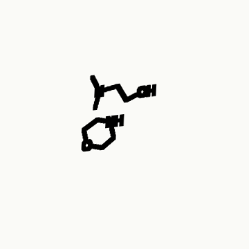 C1COCCN1.CN(C)CCO